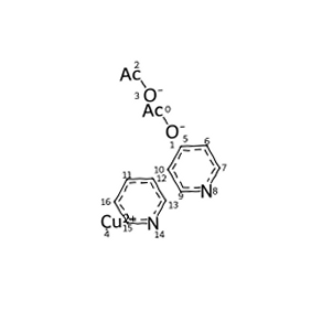 CC(=O)[O-].CC(=O)[O-].[Cu+2].c1ccncc1.c1ccncc1